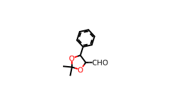 CC1(C)OC(C=O)C(c2ccccc2)O1